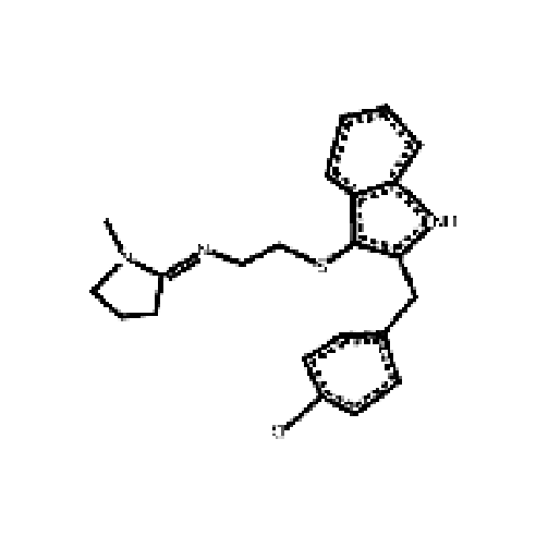 CN1CCC/C1=N\CCSc1c(Cc2ccc(Cl)cc2)[nH]c2ccccc12